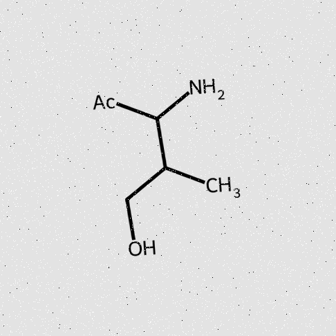 CC(=O)C(N)C(C)CO